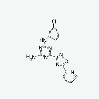 Nc1nc(Nc2cccc(Cl)c2)nc(-c2noc(-c3ccccn3)n2)n1